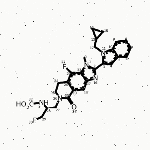 Cn1c(-c2cc3ccccc3n2CC2CC2)nc2cc3c(c(F)c21)CCN(C[C@@H](CF)NC(=O)O)C3=O